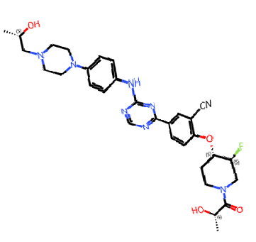 C[C@H](O)CN1CCN(c2ccc(Nc3ncnc(-c4ccc(O[C@H]5CCN(C(=O)[C@H](C)O)C[C@@H]5F)c(C#N)c4)n3)cc2)CC1